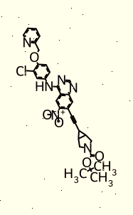 CC(C)(C)OC(=O)N1CC2C(C#Cc3cc4ncnc(Nc5ccc(OCc6ccccn6)c(Cl)c5)c4cc3[N+](=O)[O-])C2C1